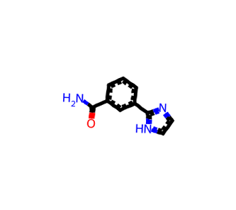 NC(=O)c1cccc(-c2ncc[nH]2)c1